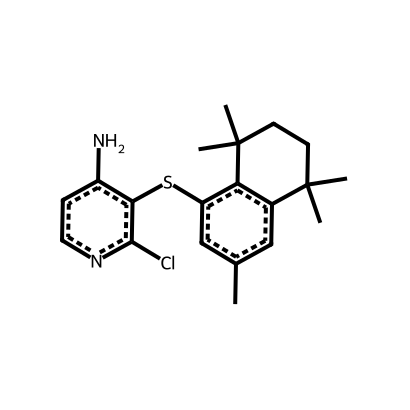 Cc1cc(Sc2c(N)ccnc2Cl)c2c(c1)C(C)(C)CCC2(C)C